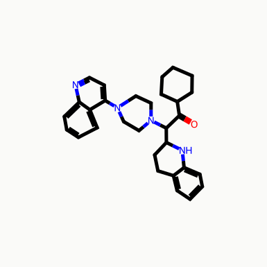 O=C(C1CCCCC1)C(C1CCc2ccccc2N1)N1CCN(c2ccnc3ccccc23)CC1